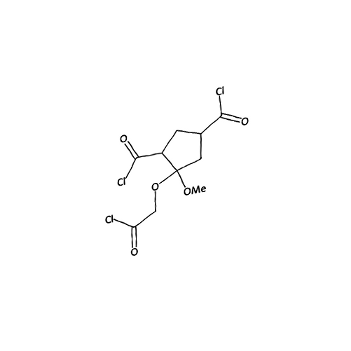 COC1(OCC(=O)Cl)CC(C(=O)Cl)CC1C(=O)Cl